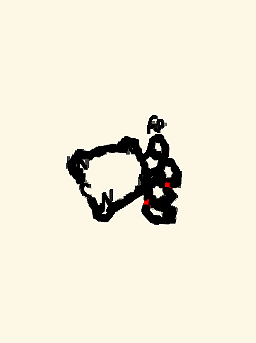 C1=Cc2cc3c(-c4ccccc4)c(-c4ccccc4)c(c(-c4ccccc4)c4nc(cc5ccc(cc1n2)[nH]5)C=C4)n3-c1ccccc1.[Co].[Fe]